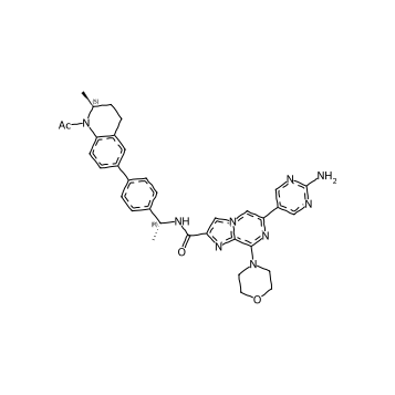 CC(=O)N1c2ccc(-c3ccc([C@@H](C)NC(=O)c4cn5cc(-c6cnc(N)nc6)nc(N6CCOCC6)c5n4)cc3)cc2CC[C@@H]1C